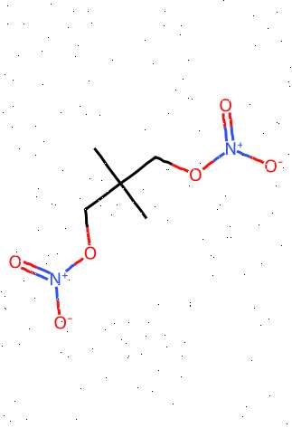 CC(C)(CO[N+](=O)[O-])CO[N+](=O)[O-]